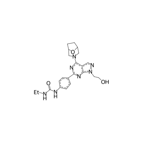 CCNC(=O)Nc1ccc(-c2nc(N3CC4CCC(C3)O4)c3cnn(CCO)c3n2)cc1